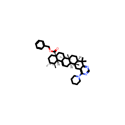 C[C@H]1[C@H](C)CC[C@]2(C(=O)OCc3ccccc3)CC[C@]3(C)C(=CC[C@@H]4[C@@]5(C)Cc6c(N7CCCCC7)ncnc6C(C)(C)[C@@H]5CC[C@]43C)[C@H]12